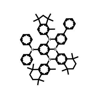 Cc1cc2c(cc1N1c3cc4c(cc3B3c5ccc(-c6ccccc6)cc5N(c5ccc6c(c5C)C(C)(C)CC6(C)C)c5cc(N(c6ccccc6)c6ccccc6)cc1c53)C(C)(C)CCC4(C)C)C(C)(C)CCC2(C)C